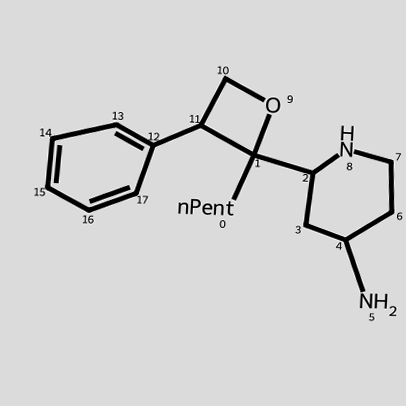 CCCCCC1(C2CC(N)CCN2)OCC1c1ccccc1